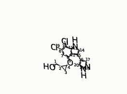 OC[C@@H]1C[C@@H]1Oc1cc(Cl)c(Cl)c2[nH]cc(-c3cn[nH]c3)c12